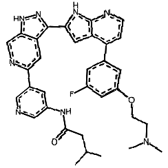 CC(C)CC(=O)Nc1cncc(-c2cc3c(-c4cc5c(-c6cc(F)cc(OCCN(C)C)c6)ccnc5[nH]4)n[nH]c3cn2)c1